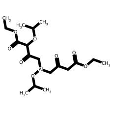 CCOC(=O)CC(=O)[CH2][Al]([CH2]C(=O)C(OC(C)C)C(=O)OCC)[O]C(C)C